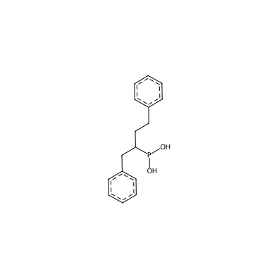 OP(O)C(CCc1ccccc1)Cc1ccccc1